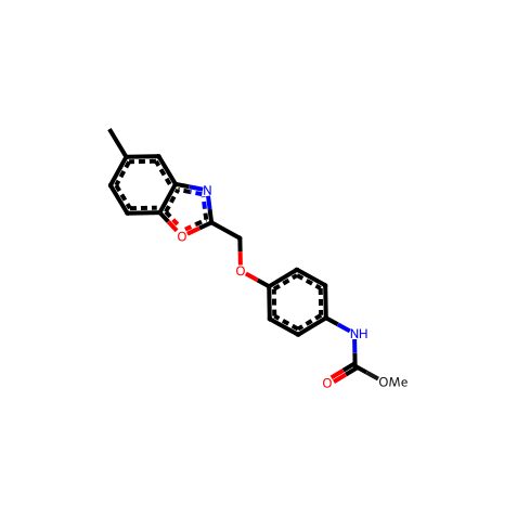 COC(=O)Nc1ccc(OCc2nc3cc(C)ccc3o2)cc1